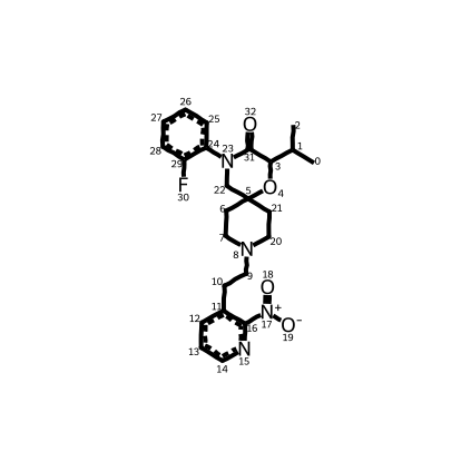 CC(C)C1OC2(CCN(CCc3cccnc3[N+](=O)[O-])CC2)CN(c2ccccc2F)C1=O